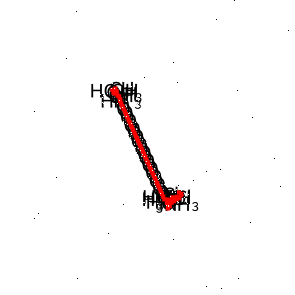 C[C@H]1[C@H](O)[C@@H](NC(=O)CCC(=O)NCCOCCOCCOCCOCCOCCOCCOCCOCCOCCOCCOCCOCCOCCOCCOCCOCCOCCOCCOCCOCCOCCOCCOCCOCCC(=O)NCCC2(C(=O)N[C@@H](Cc3ccc(NC(=O)c4c(Cl)cccc4Cl)cc3)C(=O)OC(C)(C)C)CCCC2)[C@H](C)O[C@@H]1CO